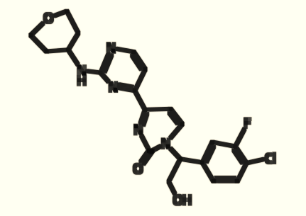 O=c1nc(-c2ccnc(NC3CCOCC3)n2)ccn1C(CO)c1ccc(Cl)c(F)c1